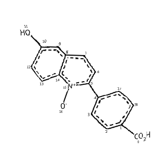 O=C(O)c1ccc(-c2ccc3cc(O)ccc3[n+]2[O-])cc1